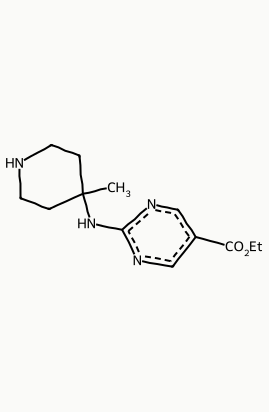 CCOC(=O)c1cnc(NC2(C)CCNCC2)nc1